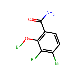 NC(=O)c1ccc(Br)c(Br)c1OBr